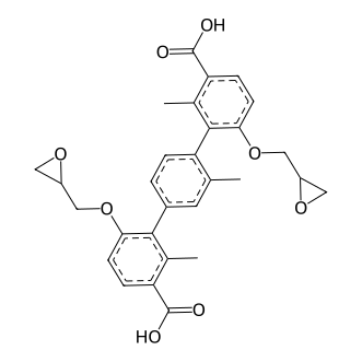 Cc1cc(-c2c(OCC3CO3)ccc(C(=O)O)c2C)ccc1-c1c(OCC2CO2)ccc(C(=O)O)c1C